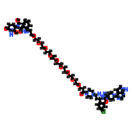 NC1(C(=O)NC(CCN2CCN(C(=O)CCOCCOCCOCCOCCOCCOCCOCCOCCOCCNc3cccc4c3C(=O)N(C3CCC(=O)NC3=O)C4=O)CC2)c2ccc(Cl)cc2)CCN(c2ncnc3[nH]ccc23)CC1